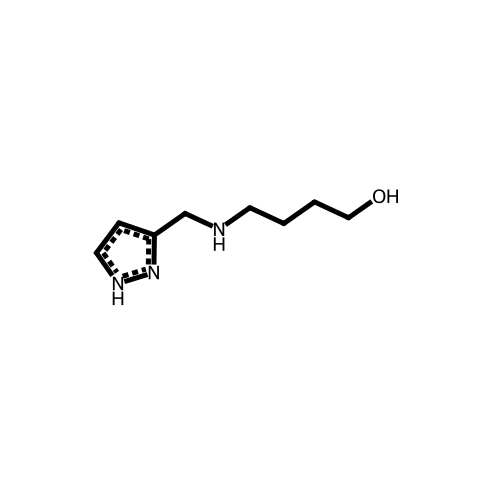 OCCCCNCc1cc[nH]n1